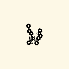 c1ccc(-c2ccc3cc(-c4nc(-n5c6ccccc6c6cc7ccc8c9ccccc9oc8c7cc65)c5sc6ccccc6c5n4)ccc3c2)cc1